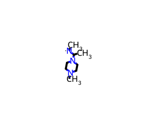 C[N]C(C)N1CCN(C)CC1